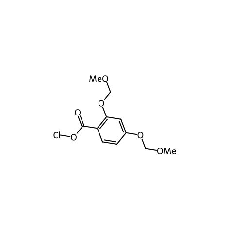 COCOc1ccc(C(=O)OCl)c(OCOC)c1